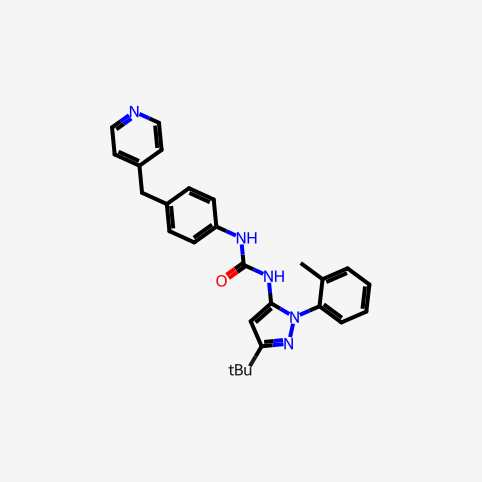 Cc1ccccc1-n1nc(C(C)(C)C)cc1NC(=O)Nc1ccc(Cc2ccncc2)cc1